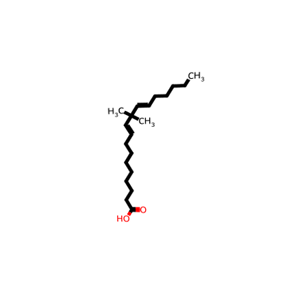 CCCCC/C=C/C(C)(C)/C=C/CCCCCCCC(=O)O